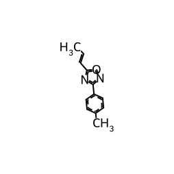 C/C=C/c1nc(-c2ccc(C)cc2)no1